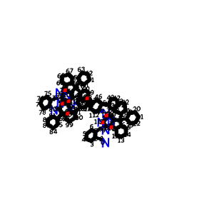 N#Cc1ccccc1-c1nc(-c2ccccc2C(c2ccccc2)(c2ccccc2)c2ccccc2)nc(-n2c3ccccc3c3cc(-c4ccc(C(c5ccccc5)(c5ccccc5)c5ccccc5-c5nc(-c6ccccc6-n6c7ccccc7c7ccccc76)nc(-n6c7ccccc7c7ccccc76)n5)cc4)ccc32)n1